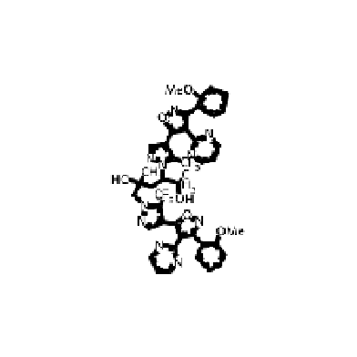 COc1ccccc1-c1noc(-c2cnn(CC(C)(O)CC([C@@H](C)O)n3ncc(-c4onc(-c5ccccc5OC)c4-c4ncccn4)c3C(F)(F)F)c2C(F)(F)F)c1-c1ncccn1